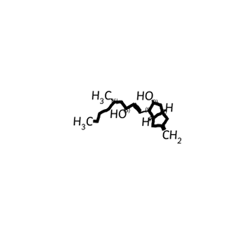 C=C1C[C@H]2C[C@@H](O)[C@H](C=C[C@@H](O)C[C@@H](C)CCCC)[C@@H]2C1